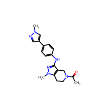 CC(=O)N1CCc2c(c(Nc3ccc(-c4cnn(C)c4)cc3)nn2C)C1